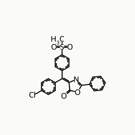 CS(=O)(=O)c1ccc(C(=C2N=C(c3ccccc3)OC2=O)c2ccc(Cl)cc2)cc1